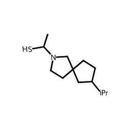 CC(C)C1CCC2(CCN(C(C)S)C2)C1